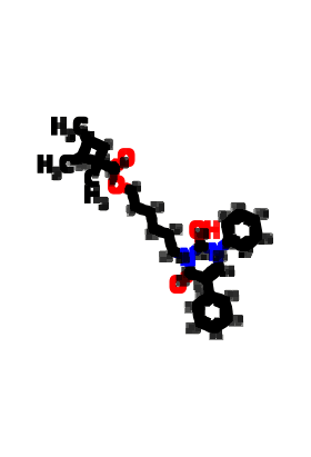 CC1CC(C)(C(=O)OCCCCCCN2C(=O)C(c3ccccc3)=CN(c3ccccc3)C2O)C1C